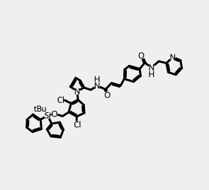 CC(C)(C)[Si](OCc1c(Cl)ccc(-n2cccc2CNC(=O)C=Cc2ccc(C(=O)NCc3ccccn3)cc2)c1Cl)(c1ccccc1)c1ccccc1